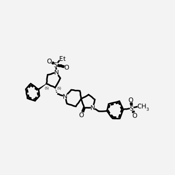 CCS(=O)(=O)N1C[C@H](CN2CCC3(CC2)CCN(Cc2ccc(S(C)(=O)=O)cc2)C3=O)[C@@H](c2ccccc2)C1